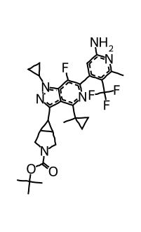 Cc1nc(N)cc(-c2nc(C3(C)CC3)c3c(C4C5CN(C(=O)OC(C)(C)C)CC54)nn(C4CC4)c3c2F)c1C(F)(F)F